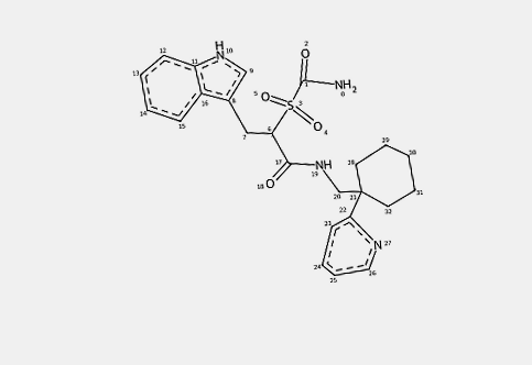 NC(=O)S(=O)(=O)[C](Cc1c[nH]c2ccccc12)C(=O)NCC1(c2ccccn2)CCCCC1